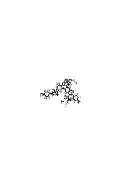 CNC(=O)c1c(-c2ccc(F)cc2)oc2cc(N(C)S(C)(=O)=O)c(C3CCCN(c4ncc(-c5ccc(F)cc5)o4)C3)cc12